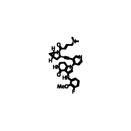 COc1c(F)cccc1Nc1cn(-c2ccncc2C#C[C@H]2C[C@@H]3C[C@@H]3N2C(=O)/C=C/CN(C)C)c2c1C(=O)NCC2